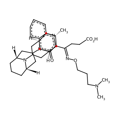 C[C@@H]1C[C@H]2CC(N3[C@@H]4CCC[C@H]3CC(n3c(=O)c(/C(CCC(=O)O)=N/OCCCN(C)C)nc5ccccc53)C4)C[C@@H](C1)C2